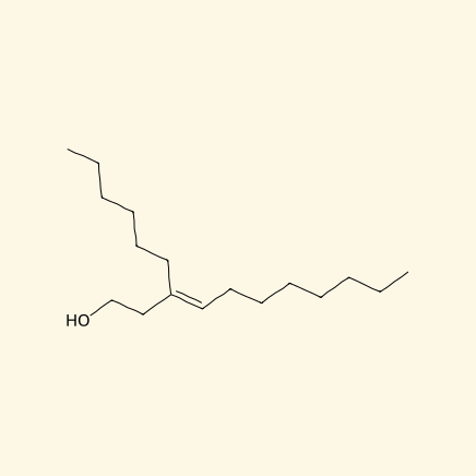 CCCCCCC/C=C(/CCO)CCCCCC